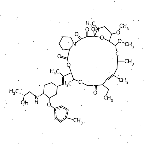 CCC1/C=C(\C)CC(C)CC(OC)C2OC(O)(C(=O)C(=O)N3CCCCC3C(=O)OC(C(C)=CC3CCC(NC[C@@H](C)O)C(Oc4ccc(C)cc4)C3)C(C)CCC1=O)C(C)CC2OC